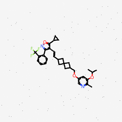 Cc1ncc(OCC2CC3(CC(/C=C/c4c(-c5ccccc5C(F)(F)F)noc4C4CC4)C3)C2)cc1OC(C)C